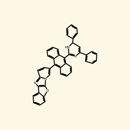 C1=C(c2ccccc2)N=C(c2c3ccccc3c(-c3ccc4nc5c6ccccc6oc5n4c3)c3ccccc23)NC1c1ccccc1